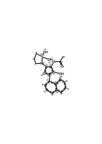 CC(=O)Oc1c(N2CCCS2(O)O)oc(-c2cccc3ccccc23)c1O